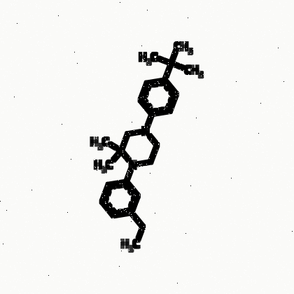 CCc1cccc(N2CCN(c3ccc(C(C)(C)C)cc3)CC2(C)C)c1